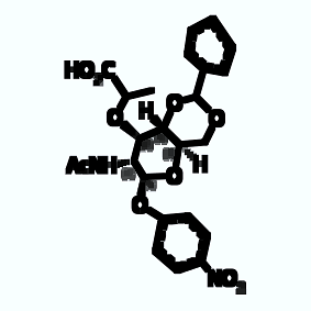 CC(=O)N[C@H]1[C@H](Oc2ccc([N+](=O)[O-])cc2)O[C@@H]2COC(c3ccccc3)O[C@H]2[C@@H]1OC(C)C(=O)O